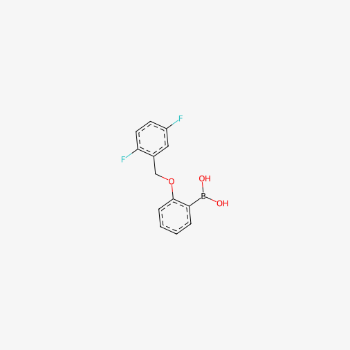 OB(O)c1ccccc1OCc1cc(F)ccc1F